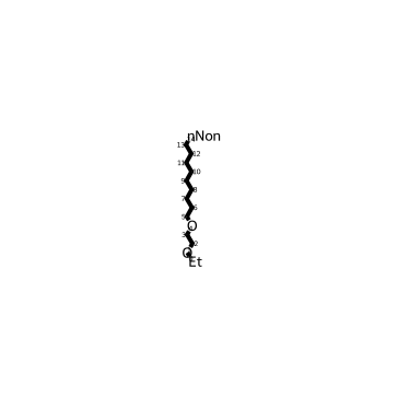 [CH2]COCCOCCCCCCCCCCCCCCCCCC